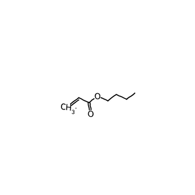 C=CC(=O)OCCCC.[CH3]